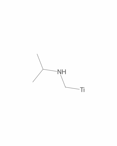 CC(C)N[CH2][Ti]